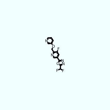 Fc1cc(-c2nnc(C(F)F)o2)cnc1COc1cccnc1